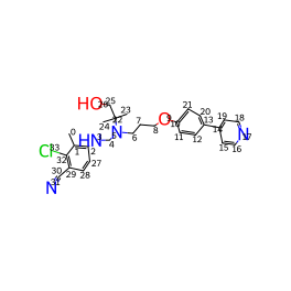 Cc1c(NCN(CCCOc2ccc(-c3ccncc3)cc2)C(C)(C)CO)ccc(C#N)c1Cl